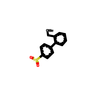 COCc1ccccc1-c1ccc([SH](=O)=O)cc1